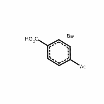 CC(=O)c1ccc(C(=O)O)cc1.[Ba]